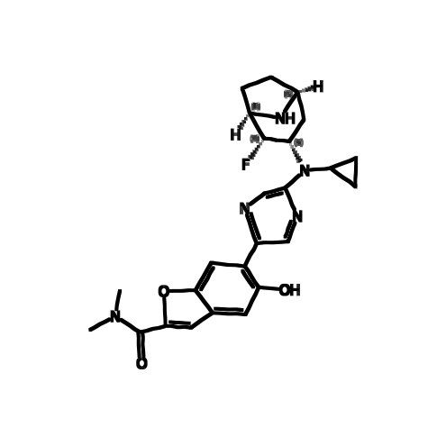 CN(C)C(=O)c1cc2cc(O)c(-c3cnc(N(C4CC4)[C@H]4C[C@@H]5CC[C@@H](N5)[C@H]4F)cn3)cc2o1